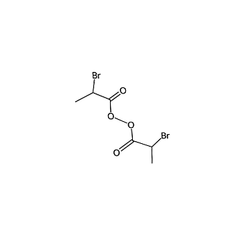 CC(Br)C(=O)OOC(=O)C(C)Br